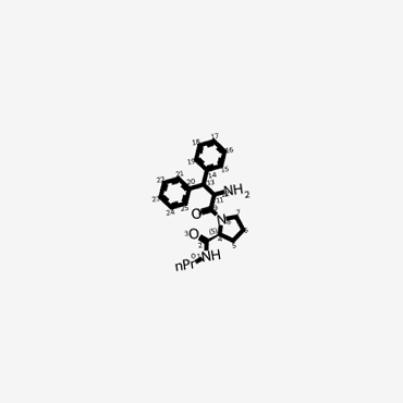 CCCNC(=O)[C@@H]1CCCN1C(=O)C(N)C(c1ccccc1)c1ccccc1